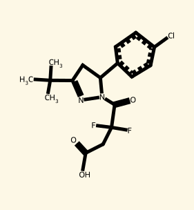 CC(C)(C)C1=NN(C(=O)C(F)(F)CC(=O)O)C(c2ccc(Cl)cc2)C1